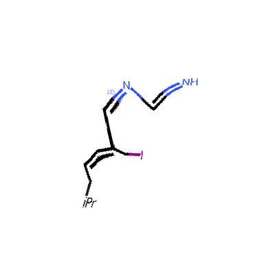 CC(C)C=C(I)/C=N\C=N